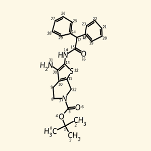 CC(C)(C)OC(=O)N1CCc2c(sc(NC(=O)C(c3ccccc3)c3ccccc3)c2N)C1